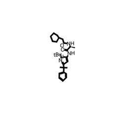 C[C@H](NC(=O)CC1CCCCC1)C(=O)Nc1cc(C(C)(C)c2ccccc2)nn1C(C)(C)C